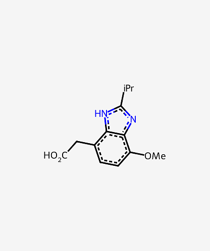 COc1ccc(CC(=O)O)c2[nH]c(C(C)C)nc12